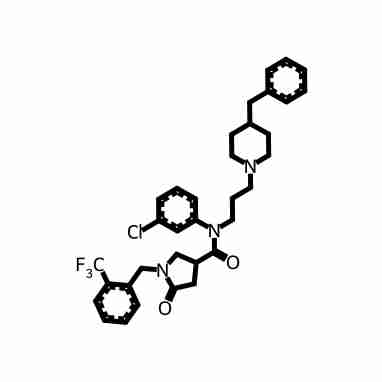 O=C1CC(C(=O)N(CCCN2CCC(Cc3ccccc3)CC2)c2cccc(Cl)c2)CN1Cc1ccccc1C(F)(F)F